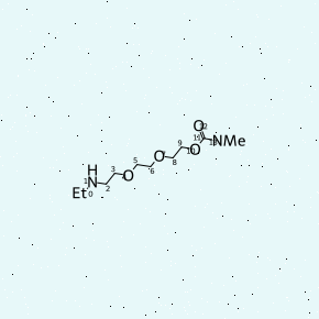 CCNCCOCCOCCOC(=O)NC